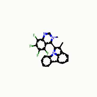 Cc1c(-c2c3c(F)c(F)c(F)c(F)c3nc[n+]2C)n2c3ccccc3c3cccc1c32